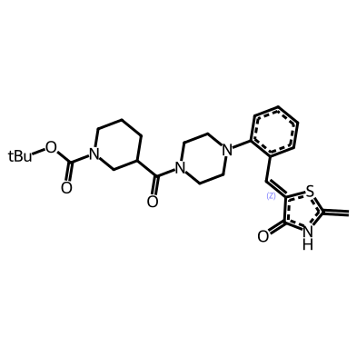 C=c1[nH]c(=O)/c(=C/c2ccccc2N2CCN(C(=O)C3CCCN(C(=O)OC(C)(C)C)C3)CC2)s1